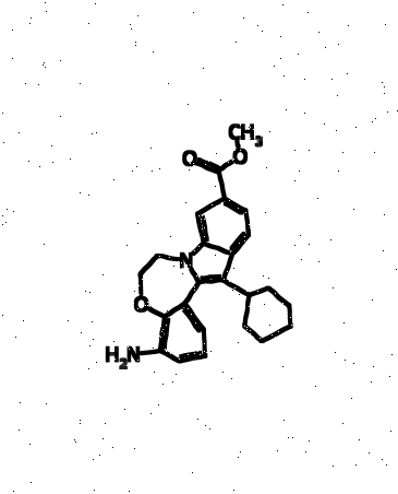 COC(=O)c1ccc2c(C3CCCCC3)c3n(c2c1)CCOc1c(N)cccc1-3